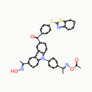 CC(=O)ON=C(C)c1ccc(-n2c3ccc(C(=O)c4ccc(Sc5nc6ccccc6s5)cc4)cc3c3cc(C(C)=NO)ccc32)cc1